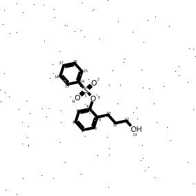 O=S(=O)(Oc1ccccc1CCCO)c1ccccc1